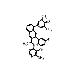 Cc1cc(-c2cccc3cc([C@H](C)Nc4ncnc(N)c4C#N)c(-c4cccc(F)c4)nc23)cn(C)c1=O